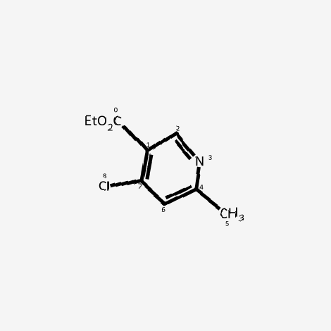 CCOC(=O)c1cnc(C)cc1Cl